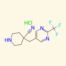 Cl.N#CC1(Cc2cnc(C(F)(F)F)nc2)CCNCC1